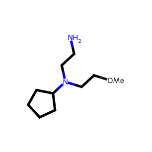 COCCN(CCN)C1CCCC1